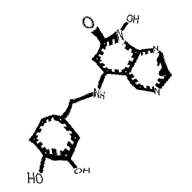 O=c1cc(NCc2ccc(O)c(O)c2)c2cncnc2n1O